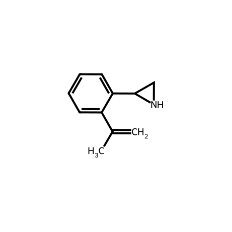 C=C(C)c1ccccc1C1CN1